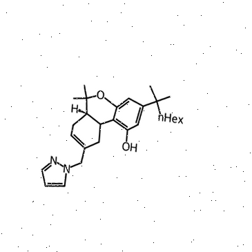 CCCCCCC(C)(C)c1cc(O)c2c(c1)OC(C)(C)[C@H]1CC=C(Cn3cccn3)CC21